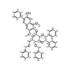 COc1cc(C=C(C(=O)O)c2ccccc2)cc(OC)c1O[C@@H]1O[C@H](COCc2ccccc2)[C@@H](OCc2ccccc2)[C@H](OCc2ccccc2)[C@H]1OCc1ccccc1